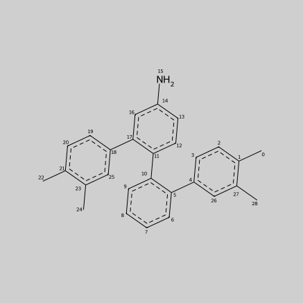 Cc1ccc(-c2ccccc2-c2ccc(N)cc2-c2ccc(C)c(C)c2)cc1C